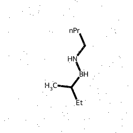 CCCCNBC(C)CC